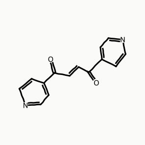 O=C(C=CC(=O)c1ccncc1)c1ccncc1